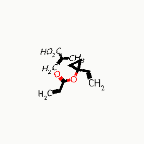 C=C(C)C(=O)O.C=CC(=O)OC1(C=C)CC1